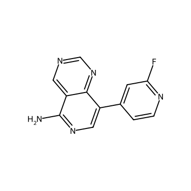 Nc1ncc(-c2ccnc(F)c2)c2ncncc12